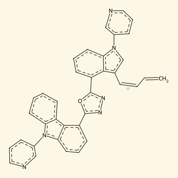 C=C/C=C\c1cn(-c2cccnc2)c2cccc(-c3nnc(-c4cccc5c4c4ccccc4n5-c4cccnc4)o3)c12